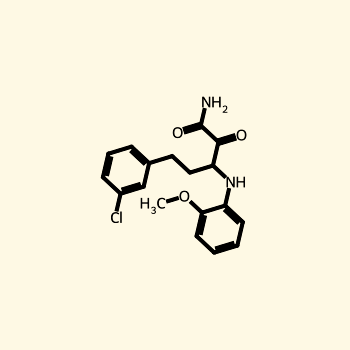 COc1ccccc1NC(CCc1cccc(Cl)c1)C(=O)C(N)=O